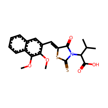 COc1c(/C=C2\SC(=S)N(C(C(=O)O)C(C)C)C2=O)cc2ccccc2c1OC